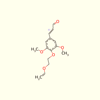 C=COCCOc1c(OC)cc(/C=C/C=O)cc1OC